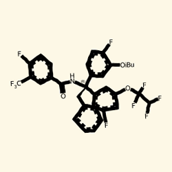 CC(C)COc1cc([C@@](Cc2ccccc2)(NC(=O)c2ccc(F)c(C(F)(F)F)c2)c2cc(F)cc(OC(F)(F)C(F)F)c2)ccc1F